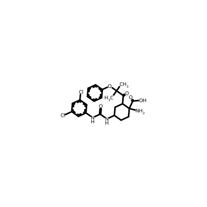 CC(C)(Oc1ccccc1)C(=O)C1CC(NC(=O)Nc2cc(Cl)cc(Cl)c2)CCC1(N)C(=O)O